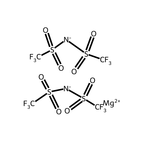 O=S(=O)([N-]S(=O)(=O)C(F)(F)F)C(F)(F)F.O=S(=O)([N-]S(=O)(=O)C(F)(F)F)C(F)(F)F.[Mg+2]